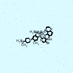 Cc1cc(Nc2ncc(Br)c(Nc3ccc4nccnc4c3NS(C)(=O)=O)n2)c(N(C)C)cc1N1CCC(N(C)C)CC1